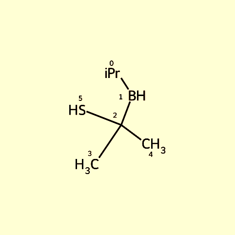 CC(C)BC(C)(C)S